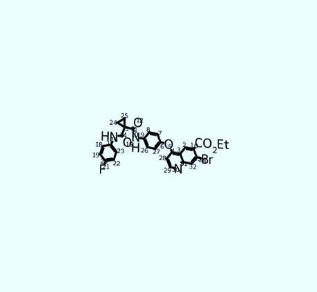 CCOC(=O)c1cc2c(Oc3ccc(NC(=O)C4(C(=O)Nc5ccc(F)cc5)CC4)cc3)ccnc2cc1Br